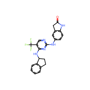 O=C1Cc2cc(Nc3ncc(C(F)(F)F)c(NC4CCc5ccccc54)n3)ccc2N1